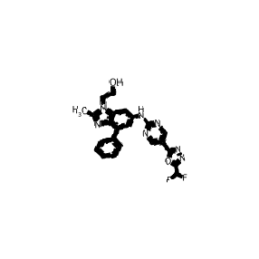 Cc1nc2c(-c3ccccc3)cc(Nc3ncc(-c4nnc(C(F)F)o4)cn3)cc2n1CCO